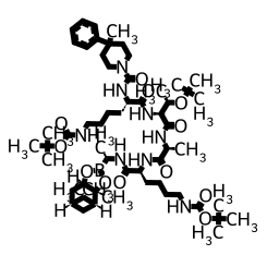 C[C@H](NC(=O)[C@H](CCCCNC(=O)OC(C)(C)C)NC(=O)[C@H](C)NC(=O)[C@@H](NC(=O)[C@H](CCCCNC(=O)OC(C)(C)C)NC(=O)N1CCC(C)(c2ccccc2)CC1)[C@@H](C)OC(C)(C)C)B1O[C@@H]2C[C@@H]3C[C@@H](C3(C)C)[C@]2(C)O1